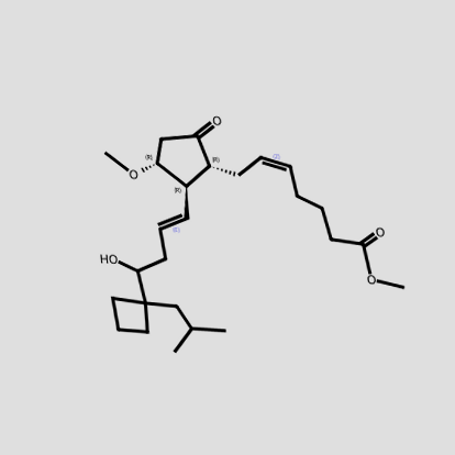 COC(=O)CCC/C=C\C[C@H]1C(=O)C[C@@H](OC)[C@@H]1/C=C/CC(O)C1(CC(C)C)CCC1